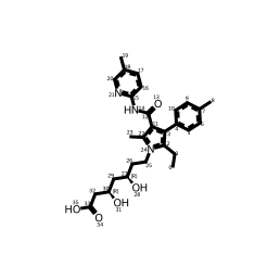 CCc1c(-c2ccc(C)cc2)c(C(=O)Nc2ccc(C)cn2)c(C)n1CC[C@@H](O)C[C@@H](O)CC(=O)O